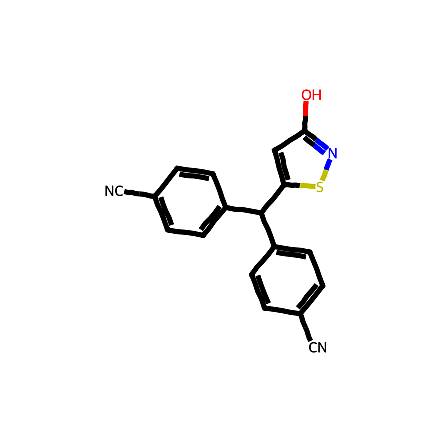 N#Cc1ccc(C(c2ccc(C#N)cc2)c2cc(O)ns2)cc1